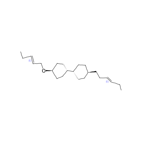 CC/C=C/CC[C@H]1CC[C@H]([C@H]2CC[C@H](OC/C=C/CC)CC2)CC1